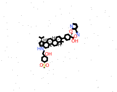 CC(C)[C@@H]1CC[C@]2(NCC[C@]3(O)CC[C@@H](S(C)(=O)=O)CC3)CC[C@]3(C)[C@H](CC[C@@H]4[C@@]5(C)CC=C(C6=CC[C@](COc7ncccc7C#N)(C(=O)O)CC6)C(C)(C)[C@@H]5CC[C@]43C)[C@@H]12